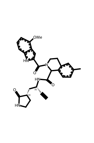 C#C[C@H](C[C@@H]1CCNC1=O)NC(=O)C1c2ccc(C)cc2CCN1C(=O)c1cc2c(OC)cccc2[nH]1